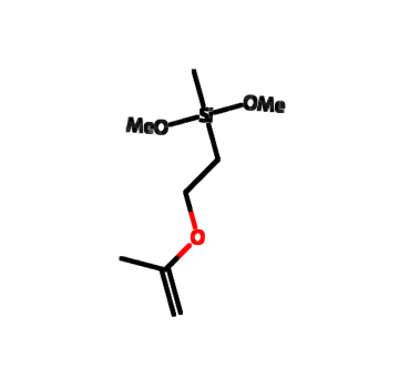 C=C(C)OCC[Si](C)(OC)OC